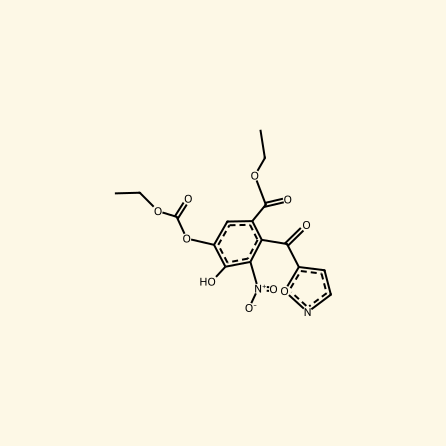 CCOC(=O)Oc1cc(C(=O)OCC)c(C(=O)c2ccno2)c([N+](=O)[O-])c1O